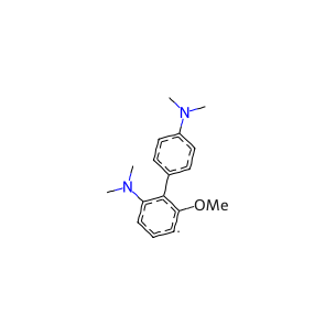 COc1[c]ccc(N(C)C)c1-c1ccc(N(C)C)cc1